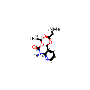 CNCC(=O)OCc1cccnc1N(C)C(=O)OCC(C)(C)C